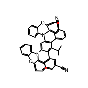 CC(C)c1c(-c2cccc(C#N)c2)c(N2c3ccccc3Oc3ccccc32)cc(N2c3ccccc3Oc3ccccc32)c1-c1cccc(C#N)c1